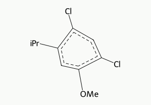 COc1cc(C(C)C)c(Cl)cc1Cl